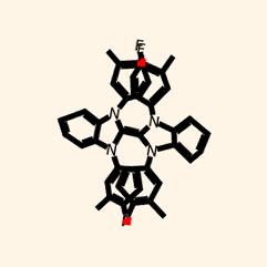 Cc1cc(N2C(=C3N(c4ccc(F)c(C)c4)c4ccccc4N3c3ccc(F)c(C)c3)N(c3ccc(F)c(C)c3)c3ccccc32)ccc1F